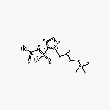 C[Si](C)(C)CCOCn1nccc1S(N)(=O)=NC(=O)O